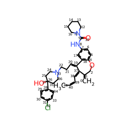 C=C1COc2ccc(NC(=O)N3CCCCC3)cc2C(=C/CCN2CCC(O)(c3ccc(Cl)cc3)CC2)/C1=C/C=C\C